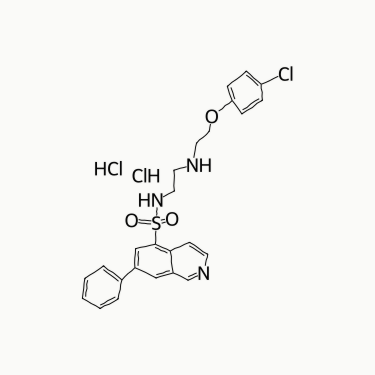 Cl.Cl.O=S(=O)(NCCNCCOc1ccc(Cl)cc1)c1cc(-c2ccccc2)cc2cnccc12